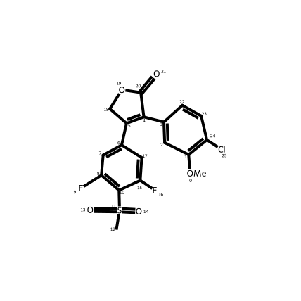 COc1cc(C2=C(c3cc(F)c(S(C)(=O)=O)c(F)c3)COC2=O)ccc1Cl